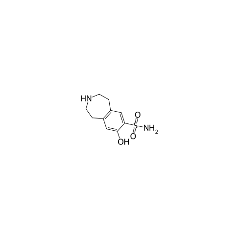 NS(=O)(=O)c1cc2c(cc1O)CCNCC2